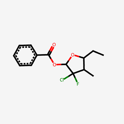 CCC1OC(OC(=O)c2ccccc2)C(F)(Cl)C1C